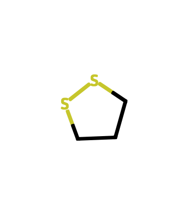 C1CSSC1